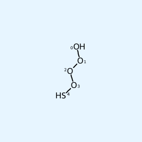 OOOOS